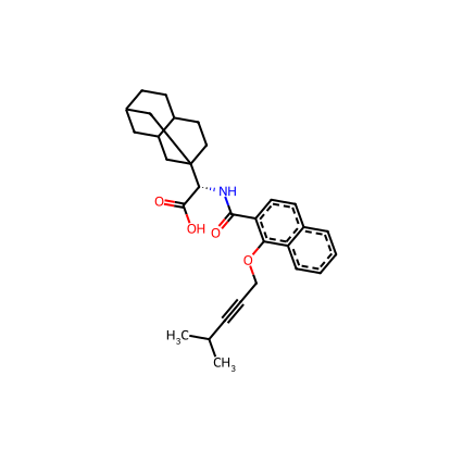 CC(C)C#CCOc1c(C(=O)N[C@H](C(=O)O)C23CCC4CCC(CC4C2)C3)ccc2ccccc12